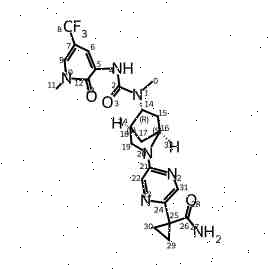 CN(C(=O)Nc1cc(C(F)(F)F)cn(C)c1=O)[C@@H]1C[C@@H]2C[C@H]1CN2c1cnc(C2(C(N)=O)CC2)cn1